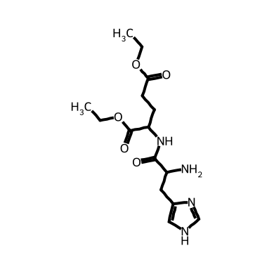 CCOC(=O)CCC(NC(=O)C(N)Cc1c[nH]cn1)C(=O)OCC